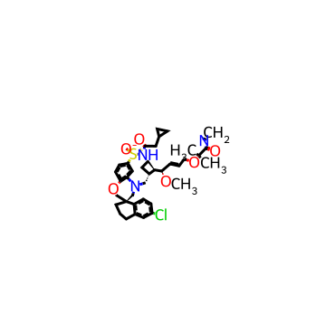 C=NC(=O)C(C)(C)OC/C=C/[C@H](OC)[C@@H]1CC[C@H]1CN1C[C@@]2(CCCc3cc(Cl)ccc32)COc2ccc([S+]([O-])NC(=O)CC3CC3)cc21